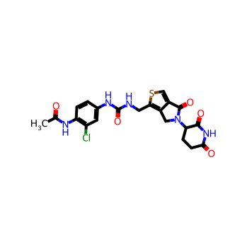 CC(=O)Nc1ccc(NC(=O)NCc2scc3c2CN(C2CCC(=O)NC2=O)C3=O)cc1Cl